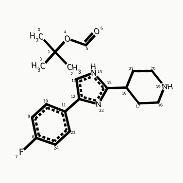 CC(C)(C)OC=O.Fc1ccc(-c2c[nH]c(C3CCNCC3)n2)cc1